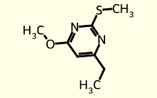 CCc1cc(OC)nc(SC)n1